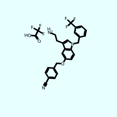 N#Cc1ccc(COc2ccc3c(c2)c(CCN)cn3Cc2cccc(C(F)(F)F)c2)cc1.O=C(O)C(F)(F)F